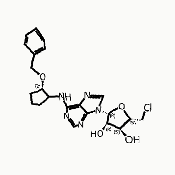 O[C@@H]1[C@H](O)[C@@H](CCl)O[C@H]1n1cnc2c(NC3CCC[C@H]3OCc3ccccc3)ncnc21